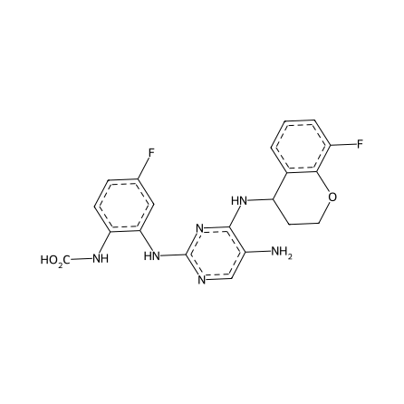 Nc1cnc(Nc2cc(F)ccc2NC(=O)O)nc1NC1CCOc2c(F)cccc21